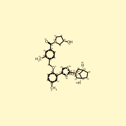 Cc1ccc(OCc2ccc(C(=O)N3CC[C@@H](O)C3)cc2C)c(-c2csc(N3C[C@H]4CC[C@@H](C3)C4C(=O)O)n2)c1